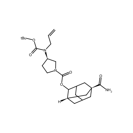 C=CCN(C(=O)OC(C)(C)C)[C@@H]1CCN(C(=O)OC2C3CC4C[C@H]2C[C@@](C(N)=O)(C4)C3)C1